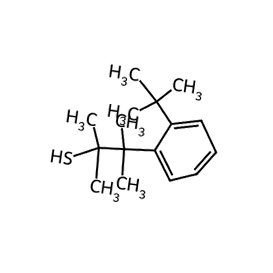 CC(C)(C)c1ccccc1C(C)(C)C(C)(C)S